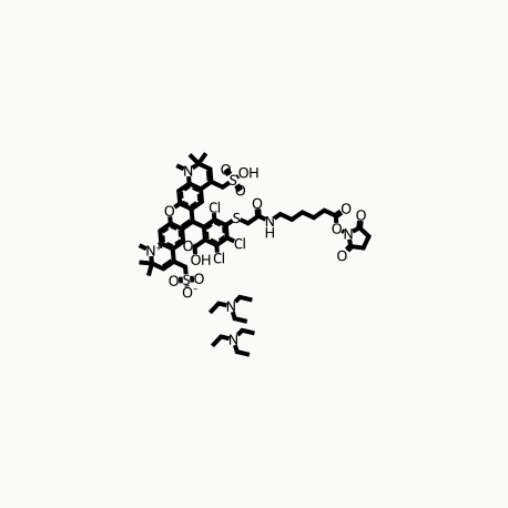 CCN(CC)CC.CCN(CC)CC.CN1c2cc3c(cc2C(CS(=O)(=O)O)=CC1(C)C)C(c1c(Cl)c(SCC(=O)NCCCCCC(=O)ON2C(=O)CCC2=O)c(Cl)c(Cl)c1C(=O)O)=c1cc2c(cc1O3)=[N+](C)C(C)(C)C=C2CS(=O)(=O)[O-]